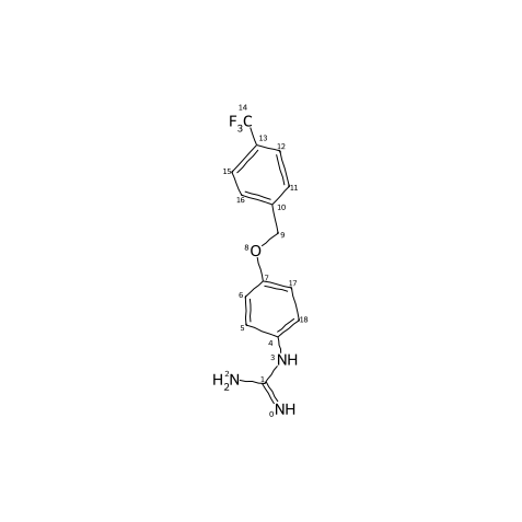 N=C(N)Nc1ccc(OCc2ccc(C(F)(F)F)cc2)cc1